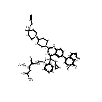 C#CCNC1(C)CCN(C2CCN(c3nc([C@@](COCNC(=O)[C@H](CC(N)=O)NC(C)=O)(OC4CC4)c4ccccc4)c4cc(-c5cn(C)c(=O)c6[nH]ccc56)ccc4n3)CC2)CC1